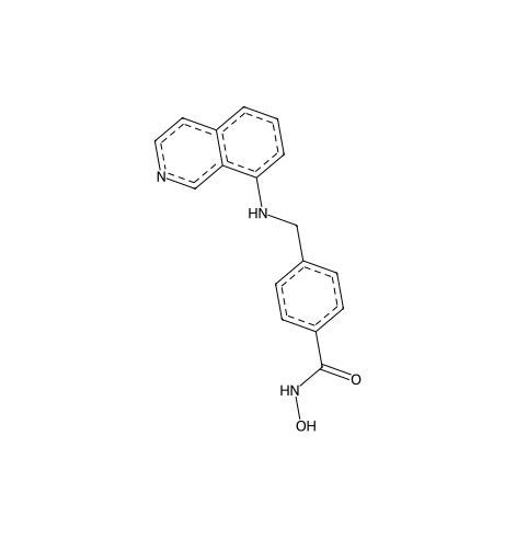 O=C(NO)c1ccc(CNc2cccc3ccncc23)cc1